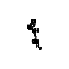 NC[C@@H](CO)CCCCNc1ccnc2cc(Cl)ccc12